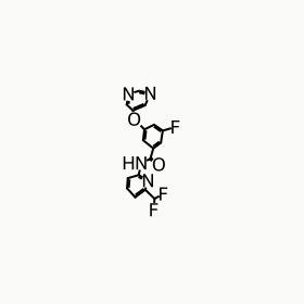 O=C(Nc1cccc(C(F)F)n1)c1cc(F)cc(Oc2cncnc2)c1